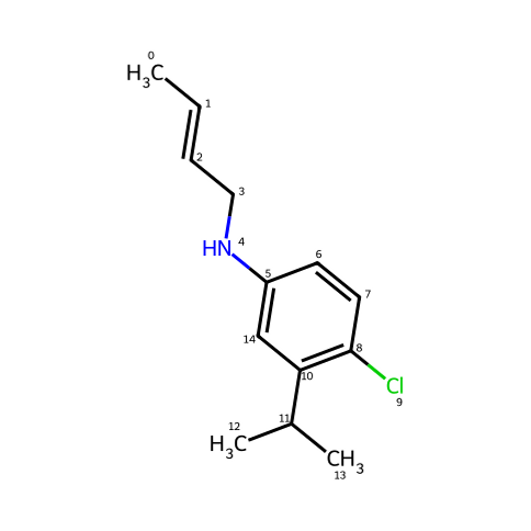 C/C=C/CNc1ccc(Cl)c(C(C)C)c1